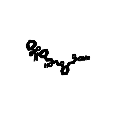 COC(=O)CCc1ccccc1OCCC(O)C=Cc1cccc(NS(=O)(=O)c2ccccc2)c1